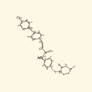 CN1CCN(Cc2ccc(NC(=O)C=Cc3ccc(-c4ccc(Cl)cc4)cc3)cc2)CC1